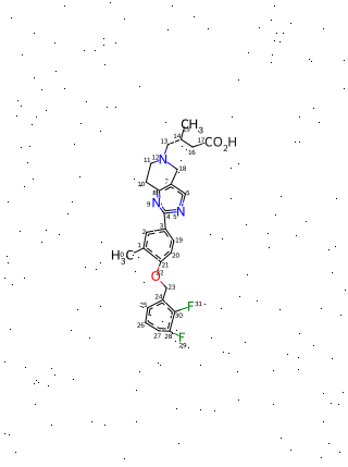 Cc1cc(-c2ncc3c(n2)CCN(CC(C)CC(=O)O)C3)ccc1OCc1cccc(F)c1F